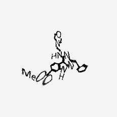 COC(=O)c1ccc2c(c1)[nH]c1nc(Cc3ccccc3)nc(NCCN3CCOCC3)c12